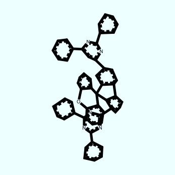 c1ccc(-c2cc(-c3ccc4c(c3)C3(c5ccccc5Oc5ccccc53)c3c(-c5nc(-c6ccccc6)nc(-c6ccccc6)n5)cccc3-4)nc(-c3ccccc3)n2)cc1